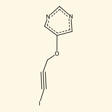 IC#CCOc1cncnc1